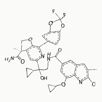 Cc1cc2cc(C(=O)NCC(O)(c3cc4c(c(-c5ccc6c(c5)OC(F)(F)O6)n3)OC[C@]4(C)C(N)=O)C3CC3)cc(OC3CC3)c2nc1Cl